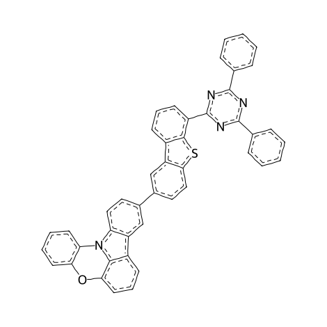 c1ccc(-c2nc(-c3ccccc3)nc(-c3cccc4c3sc3ccc(-c5ccc6c(c5)c5cccc7c5n6-c5ccccc5O7)cc34)n2)cc1